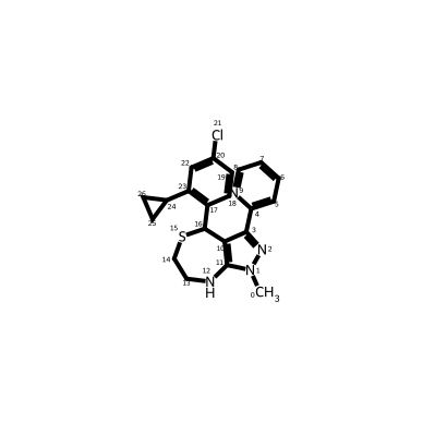 Cn1nc(-c2ccccn2)c2c1NCCSC2c1ccc(Cl)cc1C1CC1